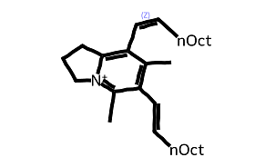 CCCCCCCCC=Cc1c(C)c(/C=C\CCCCCCCC)c2[n+](c1C)CCC2